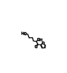 O=C(c1ccco1)C(O)CCCCO